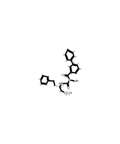 CCCN(C(=O)N[C@@H](CCc1ccccc1)CC(=O)O)C(=O)c1cccc(-c2ccccc2)c1